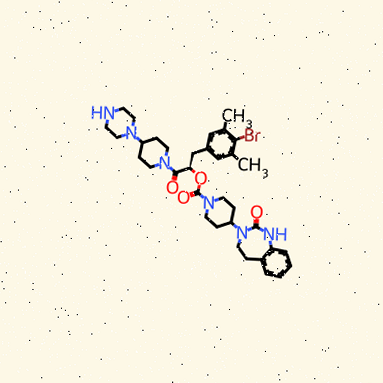 Cc1cc(C[C@@H](OC(=O)N2CCC(N3CCc4ccccc4NC3=O)CC2)C(=O)N2CCC(N3CCNCC3)CC2)cc(C)c1Br